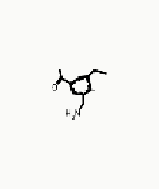 CCc1[c]c(CN)cc(C(C)=O)c1